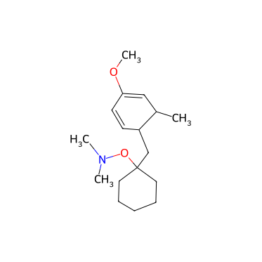 COC1=CC(C)C(CC2(ON(C)C)CCCCC2)C=C1